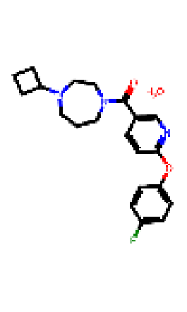 O.O=C(c1ccc(Oc2ccc(F)cc2)nc1)N1CCCN(C2CCC2)CC1